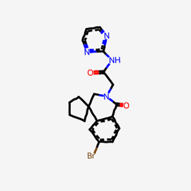 O=C(CN1CC2(CCCC2)c2cc(Br)ccc2C1=O)Nc1ncccn1